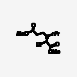 CCCN(CCC(=O)OC)C(CC)C(=O)OC